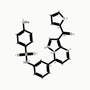 COc1ccc(S(=O)(=O)Nc2cccc(-c3ccnc4c(C(=O)c5cccs5)cnn34)c2)cc1